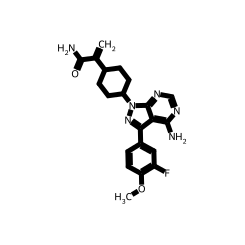 C=C(C(N)=O)C1CCC(n2nc(-c3ccc(OC)c(F)c3)c3c(N)ncnc32)CC1